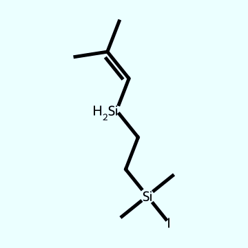 CC(C)=C[SiH2]CC[Si](C)(C)I